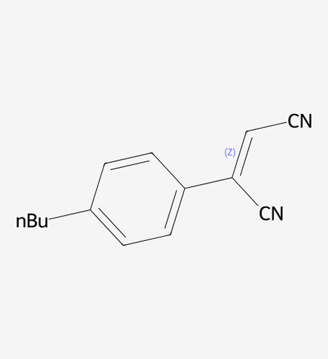 CCCCc1ccc(/C(C#N)=C/C#N)cc1